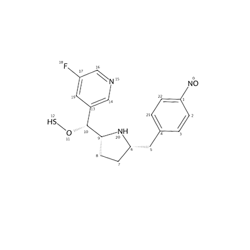 O=Nc1ccc(C[C@@H]2CC[C@H]([C@H](OS)c3cncc(F)c3)N2)cc1